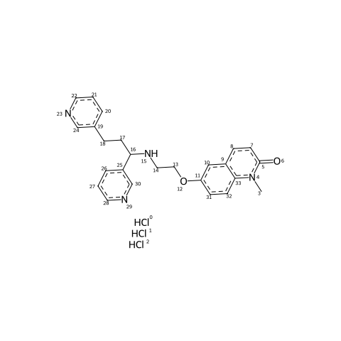 Cl.Cl.Cl.Cn1c(=O)ccc2cc(OCCNC(CCc3cccnc3)c3cccnc3)ccc21